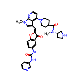 CN(C(=O)C1CCN(c2ccnc3c2c(C=C2Oc4ccc(NC(=O)Nc5cccnc5)cc4C2=O)cn3C)CC1)[C@H]1CCNC1